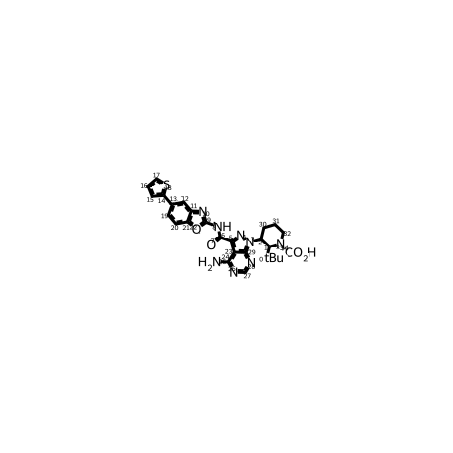 CC(C)(C)C1C(n2nc(C(=O)Nc3nc4cc(-c5cccs5)ccc4o3)c3c(N)ncnc32)CCCN1C(=O)O